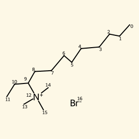 CCCCCCCCCC(CC)[N+](C)(C)C.[Br-]